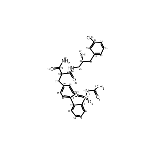 CC(=O)NS(=O)(=O)c1ccccc1-c1ccc(CC(C(N)=O)C(=O)NC[C@@H](S)Cc2cccc(Cl)c2)cc1